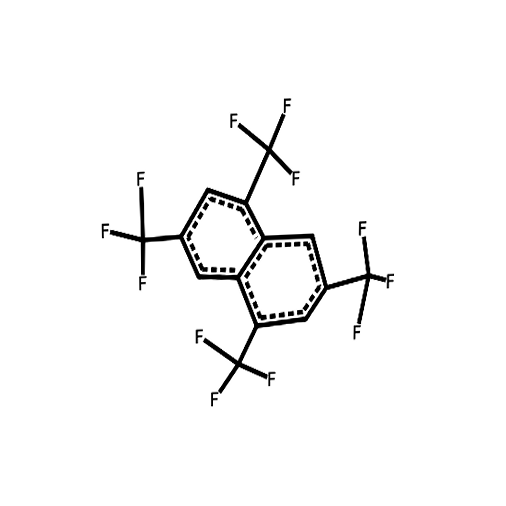 FC(F)(F)c1cc(C(F)(F)F)c2cc(C(F)(F)F)cc(C(F)(F)F)c2c1